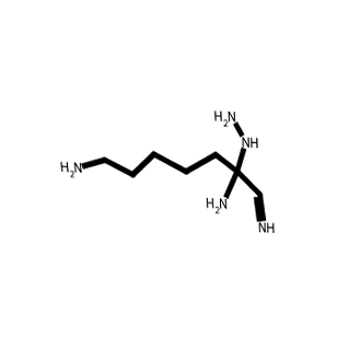 N=CC(N)(CCCCCN)NN